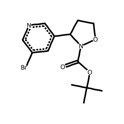 CC(C)(C)OC(=O)N1OCCC1c1cncc(Br)c1